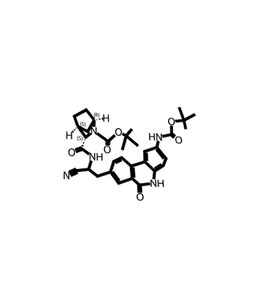 CC(C)(C)OC(=O)Nc1ccc2[nH]c(=O)c3cc(CC(C#N)NC(=O)[C@@H]4[C@H]5CC[C@H](C5)N4C(=O)OC(C)(C)C)ccc3c2c1